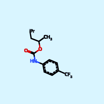 CC(C)CC(C)OC(=O)Nc1ccc(C(F)(F)F)cc1